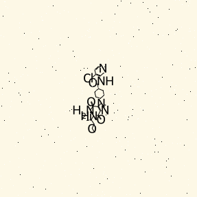 COCC(C)NC(=O)c1ncn([C@H]2CC[C@H](C(=O)Nc3cnccc3Cl)CC2)c1C(N)=O